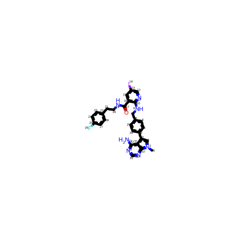 Cn1cc(-c2ccc(CNc3ncc(I)cc3C(=O)NCCc3ccc(F)cc3)cc2)c2c(N)ncnc21